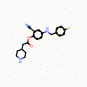 N#Cc1cc(NCc2ccc(F)cc2)ccc1OC(=O)CC1CCNCC1